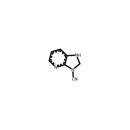 N#CN1CNc2cccnc21